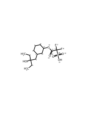 CCC(O)(CC)CC1CCCC(OC(=O)C(F)(F)S(=O)(=O)O)C1